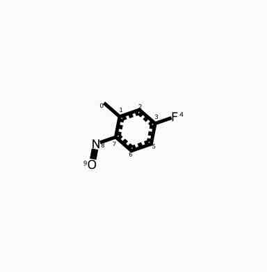 Cc1cc(F)ccc1N=O